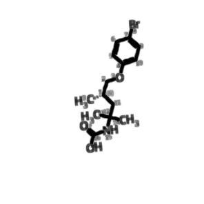 C[C@H](COc1ccc(Br)cc1)CC(C)(C)NC(=O)O